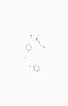 COC(=O)C(Cc1ccc(OCC(COC(C)=O)COS(=O)(=O)c2ccc(C)cc2)cc1)NC(=O)[C@@H](N=[N+]=[N-])C(C)C